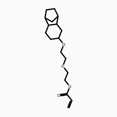 C=CC(=O)OCCOCCOC1CCC2C3CCC(C3)C2C1